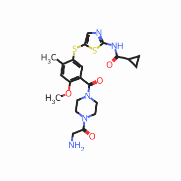 COc1cc(C)c(Sc2cnc(NC(=O)C3CC3)s2)cc1C(=O)N1CCN(C(=O)CN)CC1